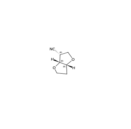 N#C[C@@H]1CO[C@@H]2CCO[C@H]12